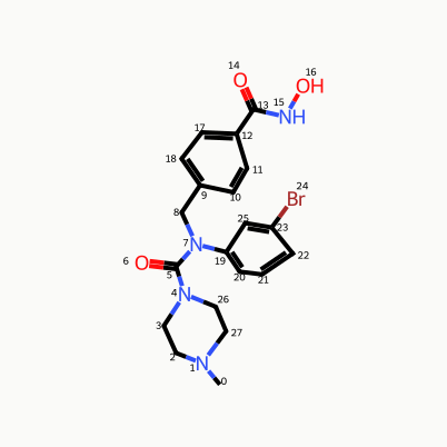 CN1CCN(C(=O)N(Cc2ccc(C(=O)NO)cc2)c2cccc(Br)c2)CC1